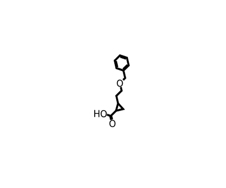 O=C(O)C1CC1CCOCc1ccccc1